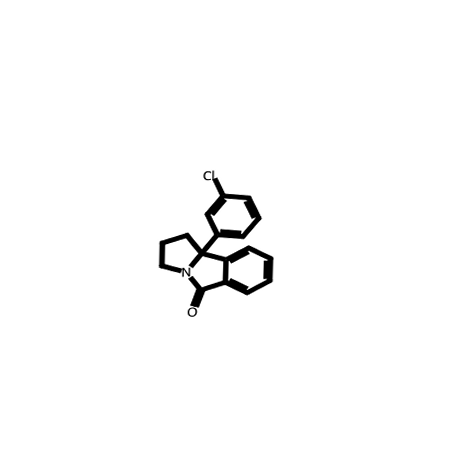 O=C1c2ccccc2C2(c3cccc(Cl)c3)CCCN12